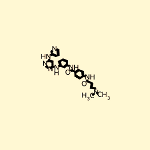 CN(C)C/C=C/C(=O)Nc1ccc(C(=O)Nc2cccc(Nc3cc(Nc4cccnc4)ncn3)c2)cc1